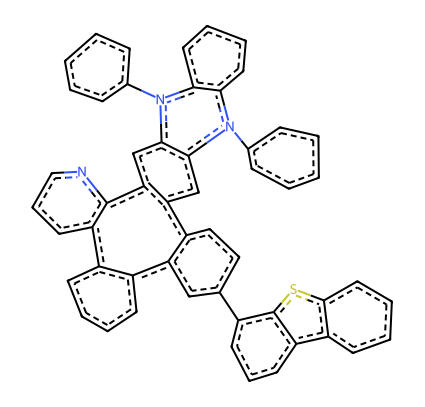 c1ccc(-n2c3ccccc3n(-c3ccccc3)c3cc4c(cc32)c2ccc(-c3cccc5c3sc3ccccc35)cc2c2ccccc2c2cccnc24)cc1